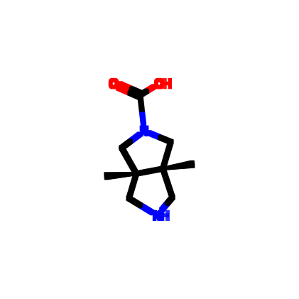 C[C@@]12CNC[C@]1(C)CN(C(=O)O)C2